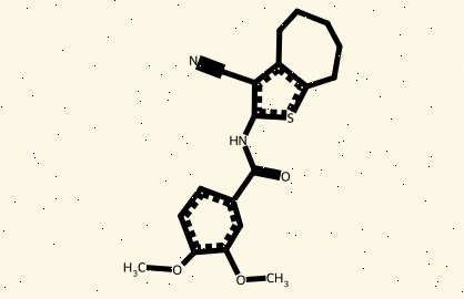 COc1ccc(C(=O)Nc2sc3c(c2C#N)CCCCC3)cc1OC